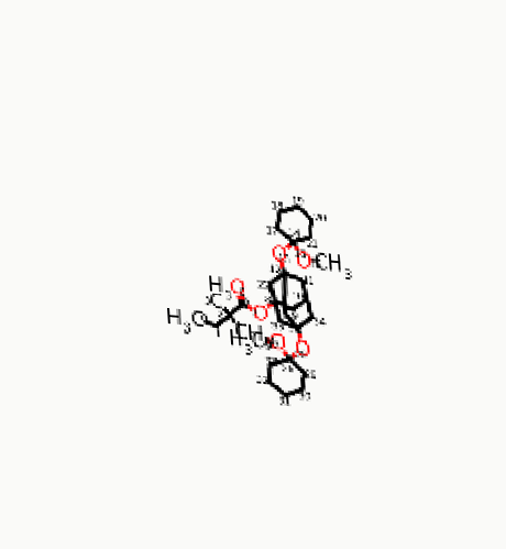 CCC(C)(C)C(=O)OC12CC3CC(OC4(OC)CCCCC4)(C1)CC(OC1(OC)CCCCC1)(C3)C2